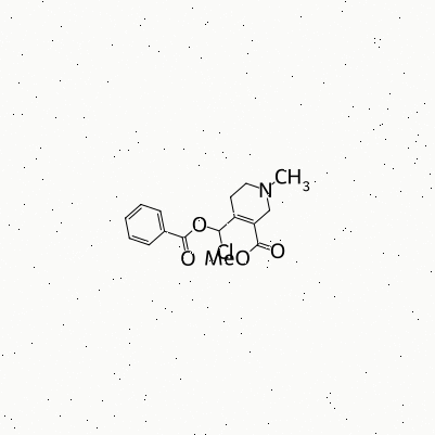 COC(=O)C1=C(C(Cl)OC(=O)c2ccccc2)CCN(C)C1